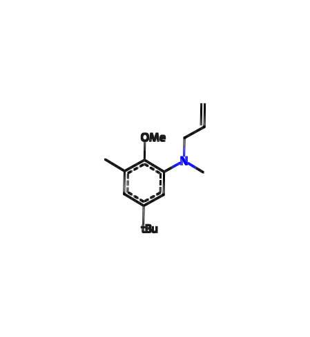 C=CCN(C)c1cc(C(C)(C)C)cc(C)c1OC